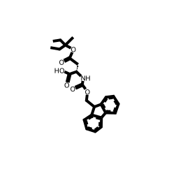 CCC(C)(CC)OC(=O)C[C@H](NC(=O)OCC1c2ccccc2-c2ccccc21)C(=O)O